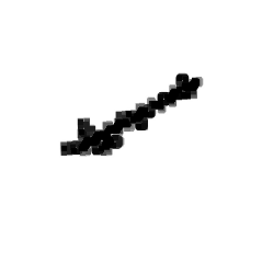 CCC(=O)NCCOCCOCC(=O)NCCCC[C@H](CC(=O)[C@H](N)CO)C(C)=O